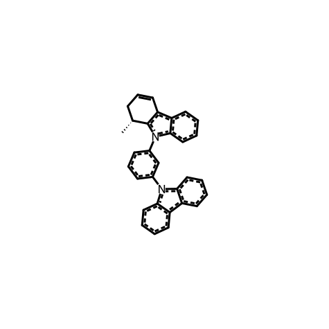 C[C@@H]1CC=Cc2c1n(-c1cccc(-n3c4ccccc4c4ccccc43)c1)c1ccccc21